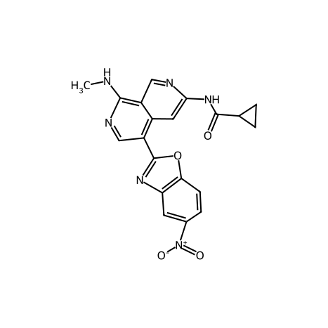 CNc1ncc(-c2nc3cc([N+](=O)[O-])ccc3o2)c2cc(NC(=O)C3CC3)ncc12